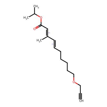 C#CCOCCCCC/C=C/C(C)=C/C(=O)OC(C)C